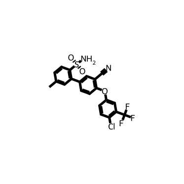 Cc1ccc(S(N)(=O)=O)c(-c2ccc(Oc3ccc(Cl)c(C(F)(F)F)c3)c(C#N)c2)c1